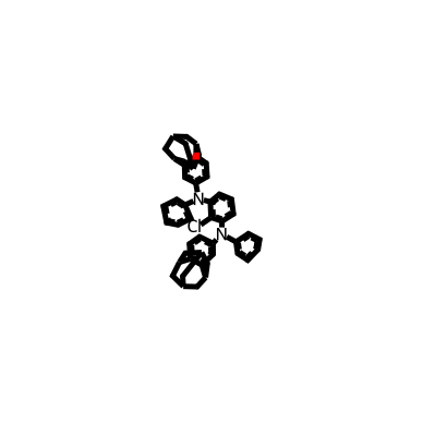 Clc1c(N(c2ccccc2)c2ccc3c(c2)C2CC4CC(CC3C4)C2)cccc1N(c1ccccc1)c1ccc2c(c1)C1CC3CC(CC2C3)C1